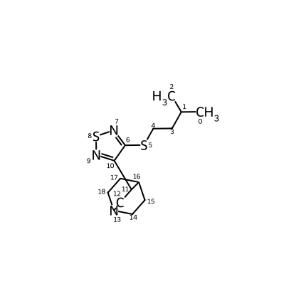 CC(C)CCSc1nsnc1C1CN2CCC1CC2